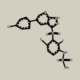 CCCS(=O)(=O)Nc1ccc(F)c(S(=O)(=O)c2n[nH]c3ncc(-c4ccc(Cl)cc4)cc23)c1F